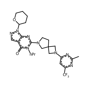 CCCn1c(N2CCC3(CN(c4cc(C(F)(F)F)nc(C)n4)C3)C2)nc2c(cnn2C2CCCCO2)c1=O